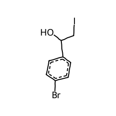 OC(CI)c1ccc(Br)cc1